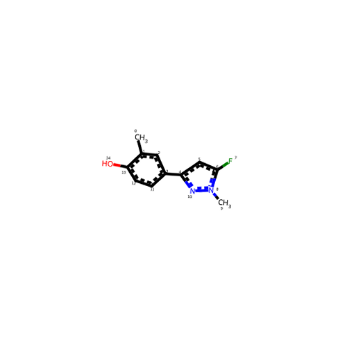 Cc1cc(-c2cc(F)n(C)n2)ccc1O